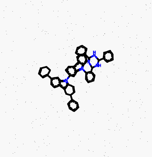 C1=CCCC(c2ccc3c4c(n(-c5ccc6c7ccccc7n(-c7ccccc7C7N=C(c8ccccc8)NC(c8ccccc8)N7)c6c5)c3c2)C=CC(c2ccccc2)C4)=C1